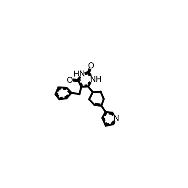 O=c1[nH]c(C2CC=C(c3cccnc3)CC2)c(Cc2ccccc2)c(=O)[nH]1